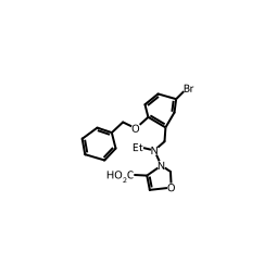 CCN(Cc1cc(Br)ccc1OCc1ccccc1)N1COC=C1C(=O)O